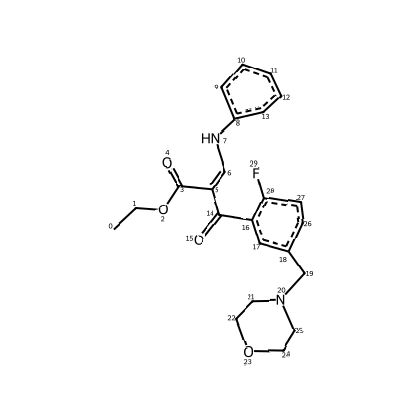 CCOC(=O)C(=CNc1ccccc1)C(=O)c1cc(CN2CCOCC2)ccc1F